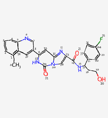 Cc1cccc2ncc(-c3cc4nc(C(=O)NC(CCO)c5ccc(F)cc5)cn4c(=O)[nH]3)cc12